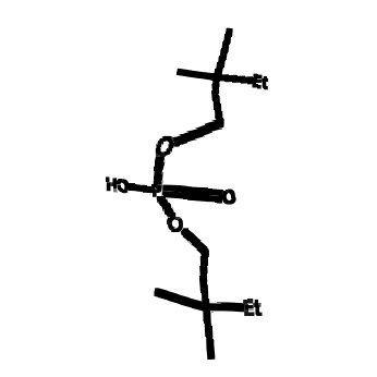 CCC(C)(C)COP(=O)(O)OCC(C)(C)CC